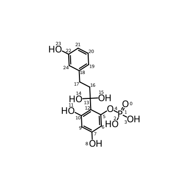 O=P(O)(O)Oc1cc(O)cc(O)c1C(O)(O)CCc1cccc(O)c1